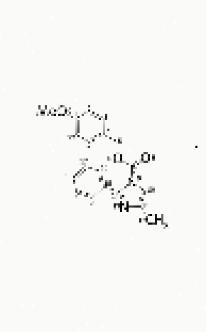 COc1ccc(COC(=O)n2cc(C)nc2-c2ccccc2)cc1